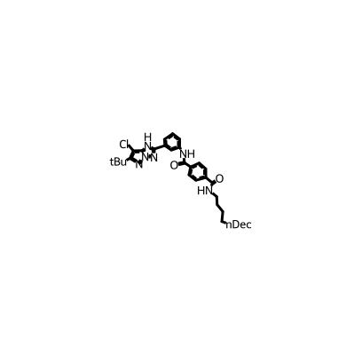 CCCCCCCCCCCCCCNC(=O)c1ccc(C(=O)Nc2cccc(-c3nn4nc(C(C)(C)C)c(Cl)c4[nH]3)c2)cc1